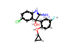 NC1=Nc2ccc(Cl)cc2C1(O)c1cc(F)ccc1OC1CC1